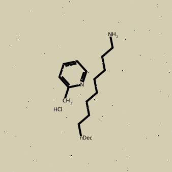 CCCCCCCCCCCCCCCCCCN.Cc1ccccn1.Cl